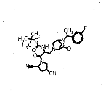 CC1CC(C#N)N(C(=O)C(CN2CC3CC2C(=O)N3[C@@H](C)c2cccc(F)c2)NC(=O)OC(C)(C)C)C1